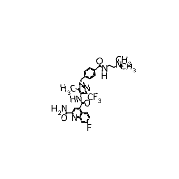 Cc1c(NC(=O)c2cc(C(N)=O)nc3cc(F)ccc23)c(C(F)(F)F)nn1Cc1ccc(C(=O)NCCN(C)C)cc1